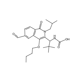 CCCCOc1c(C(NC(=O)O)C(C)(C)C)n(CC(C)C)c(=O)c2ccc(C=O)cc12